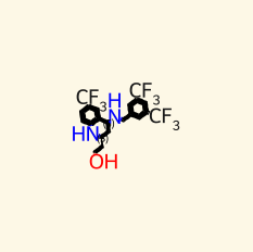 OCC[C@@H]1C[C@H](NCc2cc(C(F)(F)F)cc(C(F)(F)F)c2)c2cc(C(F)(F)F)ccc2N1